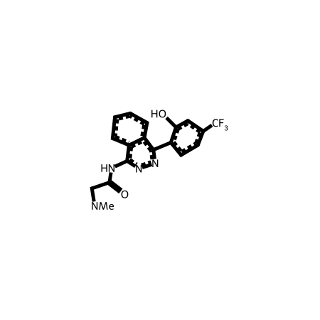 CNCC(=O)Nc1nnc(-c2ccc(C(F)(F)F)cc2O)c2ccccc12